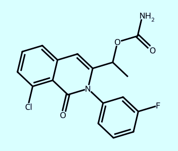 CC(OC(N)=O)c1cc2cccc(Cl)c2c(=O)n1-c1cccc(F)c1